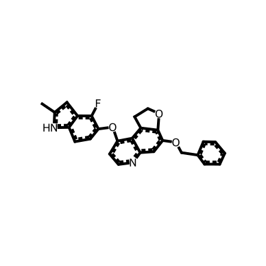 Cc1cc2c(F)c(Oc3ccnc4cc(OCc5ccccc5)c5c(c34)CCO5)ccc2[nH]1